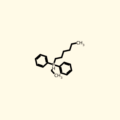 CCCCCC[PH](CC)(c1ccccc1)c1ccccc1